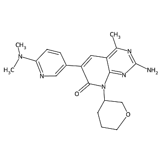 Cc1nc(N)nc2c1cc(-c1ccc(N(C)C)nc1)c(=O)n2C1CCCOC1